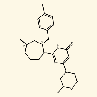 CC1CN(c2cc(=O)[nH]c(N3CCC[C@@H](C)C[C@H]3Cc3ccc(F)cc3)n2)CCO1